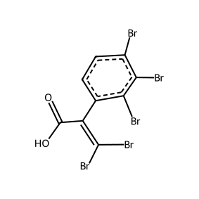 O=C(O)C(=C(Br)Br)c1ccc(Br)c(Br)c1Br